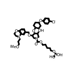 COCCCN1CCOc2ccc(COC3CN(C(=O)OCCCCCON(O)O)CC(O)C3OC3CCC(Oc4ccc(Cl)cc4)CC3)cc21